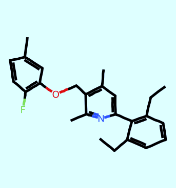 CCc1cccc(CC)c1-c1cc(C)c(COc2cc(C)ccc2F)c(C)n1